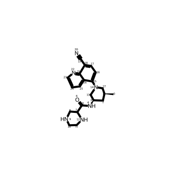 C[C@H]1C[C@@H](NC(=O)C2CNCCN2)CN(c2ccc(C#N)c3ncccc23)C1